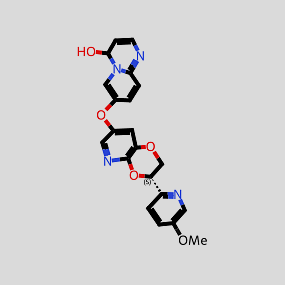 COc1ccc([C@H]2COc3cc(OC4=CN5C(=NC=CC5O)C=C4)cnc3O2)nc1